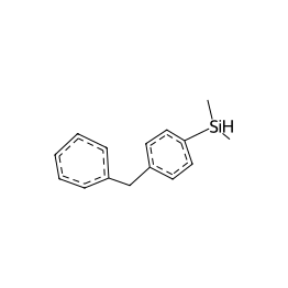 C[SiH](C)c1ccc(Cc2ccccc2)cc1